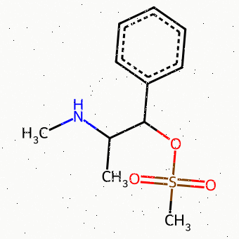 CNC(C)C(OS(C)(=O)=O)c1ccccc1